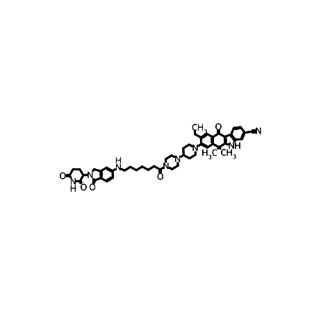 CCc1cc2c(cc1N1CCC(N3CCN(C(=O)CCCCCCNc4ccc5c(c4)CN(C4CCC(=O)NC4=O)C5=O)CC3)CC1)C(C)(C)c1[nH]c3cc(C#N)ccc3c1C2=O